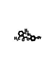 CC(C)c1ccc(OCC(=O)N2C(C)CCCC2C)c(Br)c1